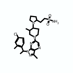 Cc1cc(Cl)ccc1C(C)n1nc(C)c2ncc(N3CCC(N4CCCC4CCS(N)(=O)=O)C(C)C3)nc21